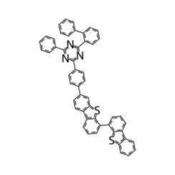 c1ccc(-c2nc(-c3ccc(-c4ccc5c(c4)sc4c(-c6cccc7c6sc6ccccc67)cccc45)cc3)nc(-c3ccccc3-c3ccccc3)n2)cc1